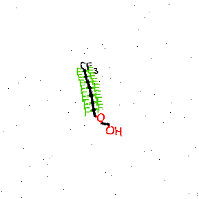 OCCOCC(F)(F)C(F)(F)C(F)(F)C(F)(F)C(F)(F)C(F)(F)C(F)(F)C(F)(F)F